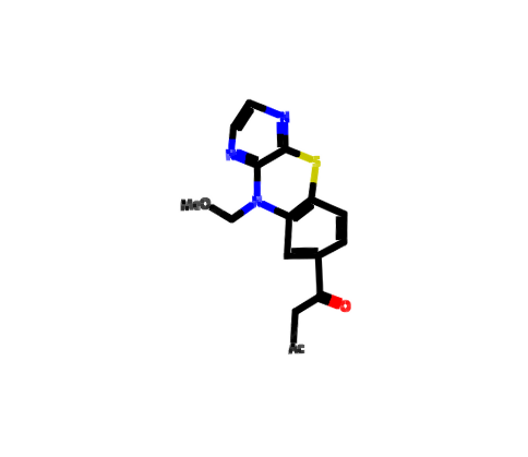 COCN1c2cc(C(=O)CC(C)=O)ccc2Sc2nccnc21